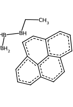 BBBCC.c1cc2ccc3cccc4ccc(c1)c2c34